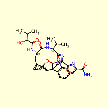 CC(C)C(O)C(=O)N[C@H]1Cc2ccc3c(c2)C2(c4ccccc4NC2O3)c2oc(nc2-c2nc(C(N)=O)co2)[C@H](C(C)C)NC1=O